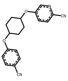 N#Cc1ccc(OC2CCC(Oc3ccc(C#N)nc3)CC2)cc1